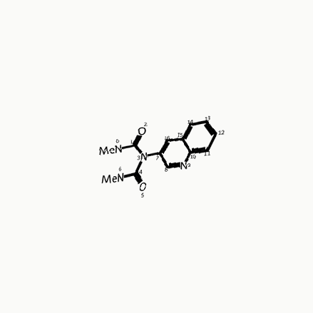 CNC(=O)N(C(=O)NC)c1cnc2ccccc2c1